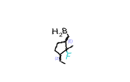 B/C=C1\CC/C(=C/C)C1(C)F